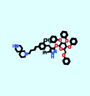 Cc1cc(/C=C/CCN2CCCC3(CCNCC3)C2)ccc1Cc1c(O[C@@H]2O[C@H](COc3ccccc3)[C@@H](Oc3ccccc3)[C@H](Oc3ccccc3)[C@H]2Oc2ccccc2)n[nH]c1C(C)C